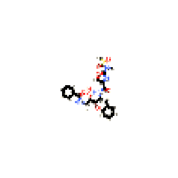 C[C@H](NC(=O)c1ccccc1)[C@@H](O)[C@H](O)[C@@H](Cc1ccccc1)NC(=O)c1coc(N(C)S(C)(=O)=O)n1